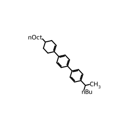 CCCCCCCCC1CC=C(c2ccc(-c3ccc(C(C)CCCC)cc3)cc2)CC1